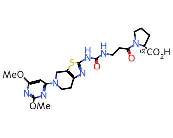 COc1cc(N2CCc3nc(NC(=O)NCCC(=O)N4CCC[C@H]4C(=O)O)sc3C2)nc(OC)n1